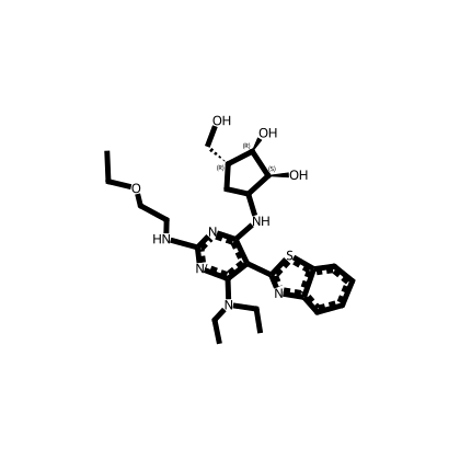 CCOCCNc1nc(NC2C[C@H](CO)[C@@H](O)[C@H]2O)c(-c2nc3ccccc3s2)c(N(CC)CC)n1